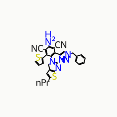 CCCc1cc2c(s1)N=CN(c1c(-c3cn(Cc4ccccc4)nn3)c(C#N)c(N)c(C#N)c1-c1cccs1)C2